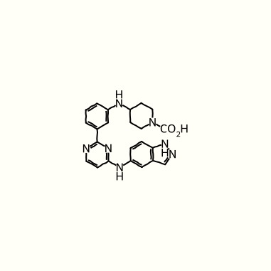 O=C(O)N1CCC(Nc2cccc(-c3nccc(Nc4ccc5[nH]ncc5c4)n3)c2)CC1